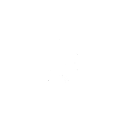 Nc1ccc(O)c([C@@H](N)CCO)c1